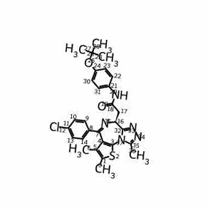 Cc1sc2c(c1C)C(c1ccc(Cl)cc1)=N[C@@H](CC(=O)Nc1ccc(OC(C)(C)C)cc1)c1nnc(C)n1-2